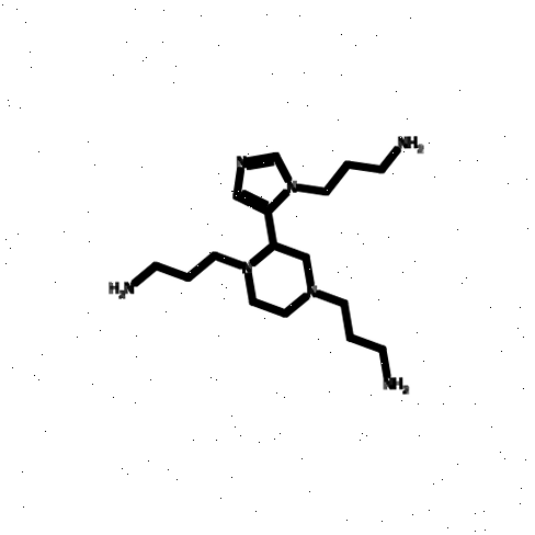 NCCCN1CCN(CCCN)C(c2cncn2CCCN)C1